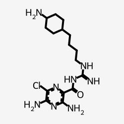 N=C(NCCCCC1CCC(N)CC1)NC(=O)c1nc(Cl)c(N)nc1N